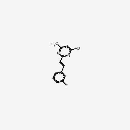 Cc1cc(Cl)nc(/C=C/c2cccc(F)c2)n1